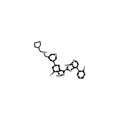 Fc1ccccc1-c1ccnc2[nH]c(-c3n[nH]c4c(F)cc(-c5cncc(CNCC6CCCC6)c5)cc34)nc12